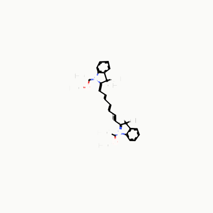 COC(C)N1/C(=C/C=C/C=C/C=C/C2=[N+](C(C)OC)c3ccccc3C2(C)C)C(C)(C)c2ccccc21